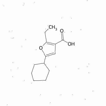 CCc1oc(C2CCCCC2)cc1C(=O)O